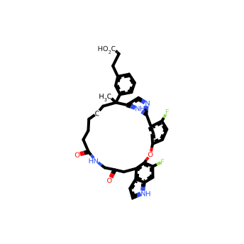 CC1(c2cccc(CCC(=O)O)c2)CCCCCC(=O)NCC(=O)Cc2c(c(F)cc3[nH]ccc23)Oc2ccc(F)c(c2)-c2ncc1[nH]2